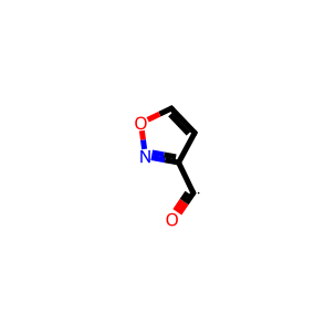 O=[C]c1ccon1